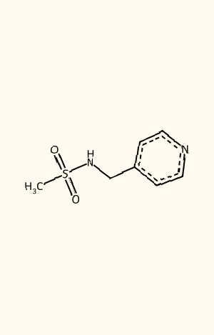 CS(=O)(=O)NCc1ccncc1